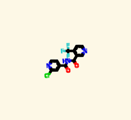 O=C(NC(=O)c1cnccc1C(F)(F)F)c1ccnc(Cl)c1